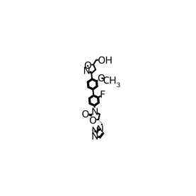 COc1cc(-c2ccc(N3C[C@H](Cn4ccnn4)OC3=O)cc2F)ccc1C1=NOC(CO)C1